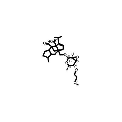 COCCO[C@H]1[C@@H]2O[C@@H]2[C@H](OCC23CC4C(C)CCC4C4(C=O)CC2C=C(C(C)C)C43C(=O)O)O[C@@H]1C